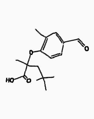 Cc1cc(C=O)ccc1OC(C)(CC(C)(C)C)C(=O)O